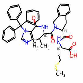 CSCC[C@H](NC(=O)[C@H]1Cc2ccccc2CN1C(=O)[C@@H](NC(=O)c1cncn1C(c1ccccc1)(c1ccccc1)c1ccccc1)C(C)C)C(=O)O